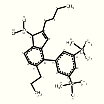 CCCCC1=Cc2c(ccc(CCC)c2-c2cc([Si](C)(C)C)cc([Si](C)(C)C)c2)[CH]1[Zr]([Cl])[Cl]